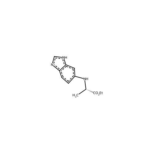 CCOC(=O)[C@H](C)Nc1ccc2nc[nH]c2c1